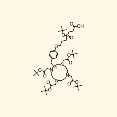 CC(C)(C)OC(=O)CN1CCN(CC(=O)OC(C)(C)C)CCN(CC(=O)OC(C)(C)C)[C@@H](Cc2ccc(OCCCP(=O)(CCC(=O)O)OC(C)(C)C)cc2)CN(CC(=O)OC(C)(C)C)CC1